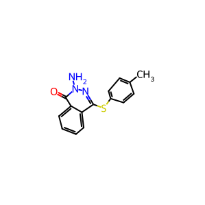 Cc1ccc(Sc2nn(N)c(=O)c3ccccc23)cc1